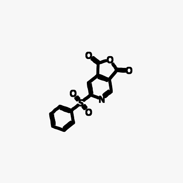 O=C1OC(=O)c2cc(S(=O)(=O)c3ccccc3)ncc21